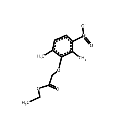 CCOC(=O)COc1c(C)ccc([N+](=O)[O-])c1C